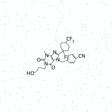 Cn1c(=O)n(CCCO)c(=O)c2c1nc(C1(F)CCC(C(F)(F)F)CC1)n2Cc1ccc(C#N)cc1